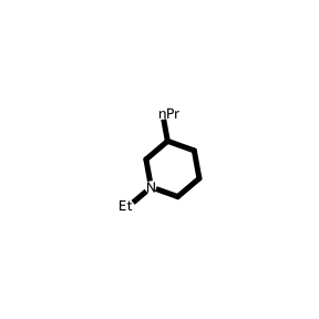 CCCC1CCCN(CC)C1